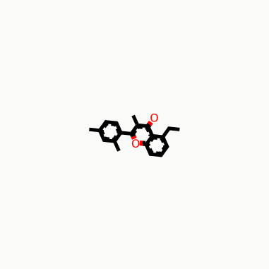 CCc1cccc2oc(-c3ccc(C)cc3C)c(C)c(=O)c12